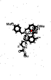 COc1ccc(CN(Cc2ccc(OC)cc2)S(=O)(=O)c2c(S(=O)(=O)C[C@@H](C)NC(=O)OC(C)(C)C)ccc(I)c2-c2nn[nH]n2)cc1